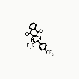 O=C1c2ccccc2C(=O)c2nc(C(F)(F)F)c(-c3ccc(C(F)(F)F)cc3)nc21